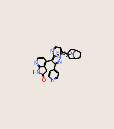 CCOC(=O)N1C2CCC1CC(c1ccnc3c(-c4ccnc5c4CC(=O)N5)c(-c4ccncc4)nn13)C2